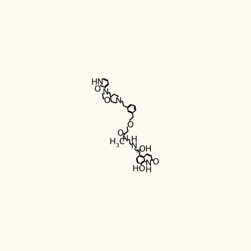 CN(CCNC[C@H](O)c1ccc(O)c2[nH]c(=O)ccc12)C(=O)CCOCCc1cccc(CCN2CCC3(CC2)CN(c2ccc[nH]c2=O)CCO3)c1